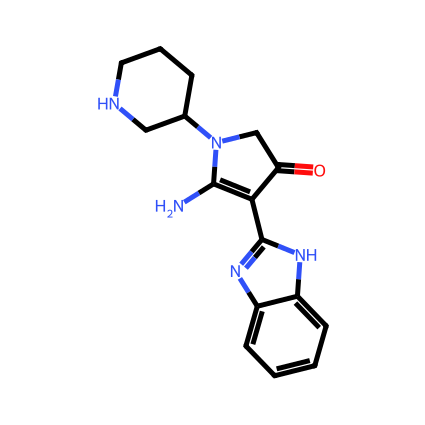 NC1=C(c2nc3ccccc3[nH]2)C(=O)CN1C1CCCNC1